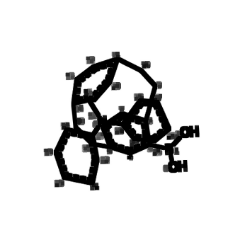 OB(O)c1cc2ccc1CCc1ccc(c(N(c3ccccc3)c3ccccc3)c1)CC2